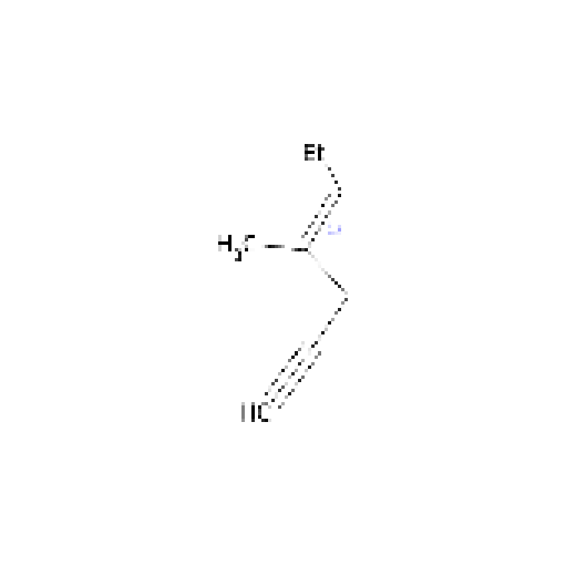 C#CC/C(C)=C/CC